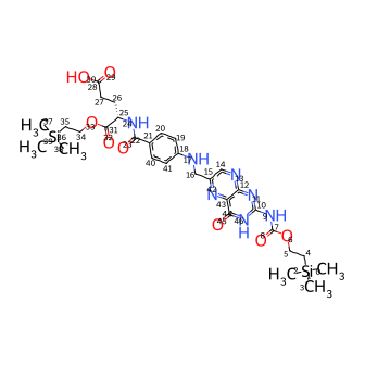 C[Si](C)(C)CCOC(=O)Nc1nc2ncc(CNc3ccc(C(=O)N[C@@H](CCC(=O)O)C(=O)OCC[Si](C)(C)C)cc3)nc2c(=O)[nH]1